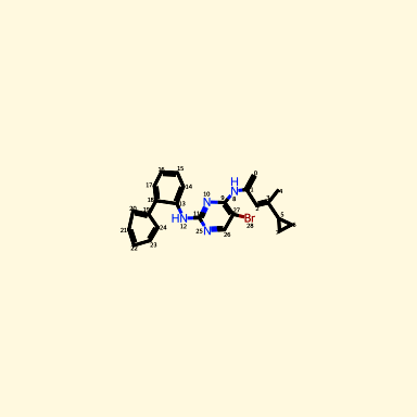 C=C(/C=C(\C)C1CC1)Nc1nc(Nc2ccccc2-c2ccccc2)ncc1Br